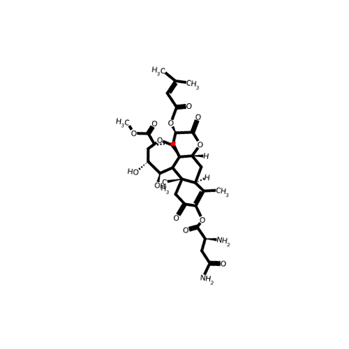 COC(=O)C[C@@H]1[C@@H](OC(=O)C=C(C)C)C(=O)O[C@@H]2C[C@H]3C(C)=C(OC(=O)[C@@H](N)CC(N)=O)C(=O)C[C@]3(C)C3[C@@H](O)[C@H](O)COC[C@@]312